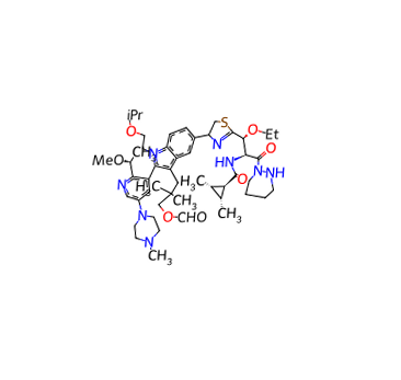 CCO[C@H](C1=NC(c2ccc3c(c2)c(CC(C)(C)COC=O)c(-c2cc(N4CCN(C)CC4)cnc2[C@H](C)OC)n3CCOC(C)C)CS1)[C@H](NC(=O)[C@H]1[C@H](C)[C@@H]1C)C(=O)N1CCCCN1